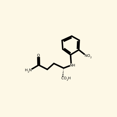 NC(=O)CC[C@H](Nc1ccccc1[N+](=O)[O-])C(=O)O